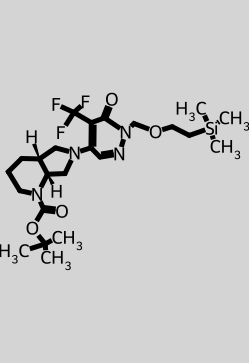 CC(C)(C)OC(=O)N1CCC[C@@H]2CN(c3cnn(COCC[Si](C)(C)C)c(=O)c3C(F)(F)F)C[C@@H]21